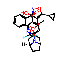 Cc1cc(N2C3CC[C@H]2CC(OCc2c(-c4ccccc4OC(F)F)noc2C2CC2)C3)ncc1C(=O)O